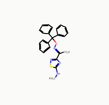 CCOC(=O)Nc1nc(/C(=N/OC(c2ccccc2)(c2ccccc2)c2ccccc2)C(=O)O)ns1